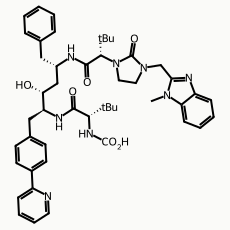 Cn1c(CN2CCN([C@H](C(=O)N[C@@H](Cc3ccccc3)C[C@@H](O)[C@H](Cc3ccc(-c4ccccn4)cc3)NC(=O)[C@@H](NC(=O)O)C(C)(C)C)C(C)(C)C)C2=O)nc2ccccc21